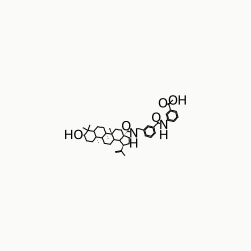 C=C(C)[C@@H]1CC[C@]2(C(=O)NCc3cccc(C(=O)Nc4cccc(C(=O)O)c4)c3)CC[C@]3(C)C(CCC4[C@@]5(C)CC[C@H](O)C(C)(C)C5CC[C@]43C)C12